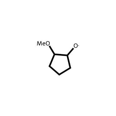 COC1CCCC1[O]